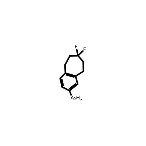 FC1(F)CCc2ccc([AsH2])cc2CC1